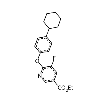 CCOC(=O)c1cnc(Oc2ccc(C3CCCCC3)cc2)c(F)c1